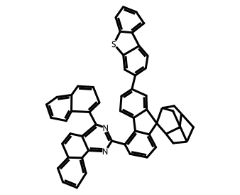 c1cc(-c2nc(-c3cccc4ccccc34)c3ccc4ccccc4c3n2)c2c(c1)C1(c3cc(-c4ccc5c(c4)sc4ccccc45)ccc3-2)C2CC3CC(C2)CC1C3